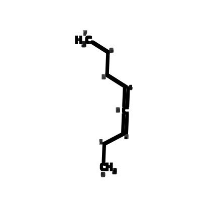 CCC=C=CCCC